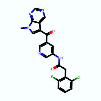 Cn1cc(C(=O)c2cncc(NC(=O)Cc3c(F)cccc3Cl)c2)c2cncnc21